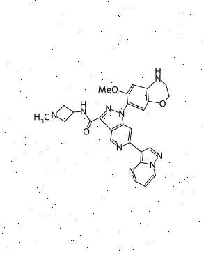 COc1cc2c(cc1-n1nc(C(=O)NC3CN(C)C3)c3cnc(-c4cnn5cccnc45)cc31)OCCN2